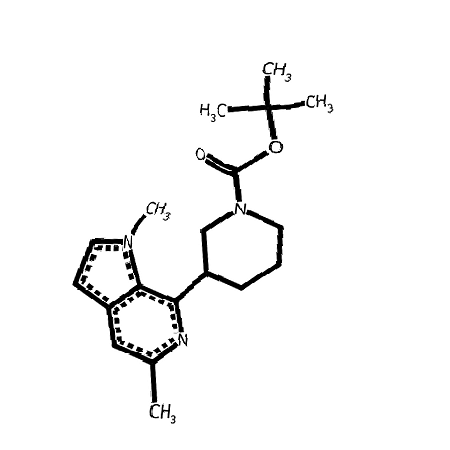 Cc1cc2ccn(C)c2c(C2CCCN(C(=O)OC(C)(C)C)C2)n1